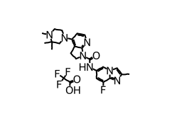 Cc1cn2cc(NC(=O)N3CCc4c(N5CCN(C)C(C)(C)C5)ccnc43)cc(F)c2n1.O=C(O)C(F)(F)F